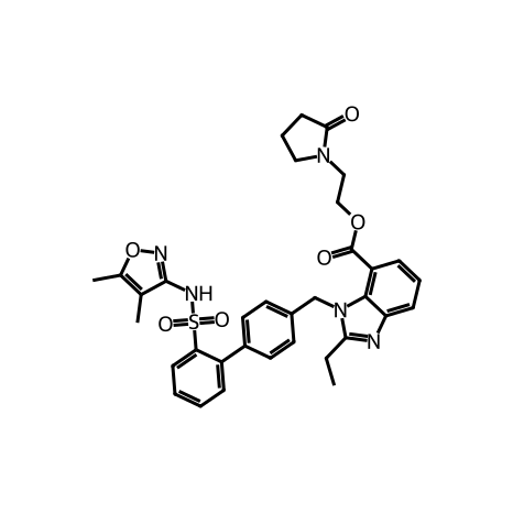 CCc1nc2cccc(C(=O)OCCN3CCCC3=O)c2n1Cc1ccc(-c2ccccc2S(=O)(=O)Nc2noc(C)c2C)cc1